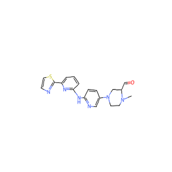 CN1CCN(c2ccc(Nc3cccc(-c4nccs4)n3)nc2)CC1C=O